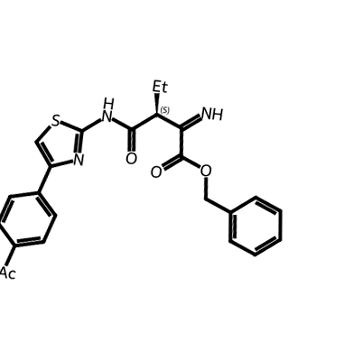 CC[C@@H](C(=N)C(=O)OCc1ccccc1)C(=O)Nc1nc(-c2ccc(C(C)=O)cc2)cs1